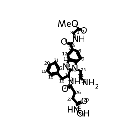 COC(=O)CNC(=O)c1ccc2c(c1)nc(C(Cc1ccccc1)NC(=O)CCC(=O)NO)n2CCN